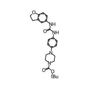 CC(C)(C)OC(=O)N1CCN(c2ccc(NC(=O)Nc3ccc4c(c3)CCO4)cc2)CC1